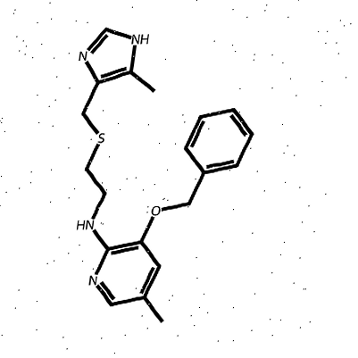 Cc1cnc(NCCSCc2nc[nH]c2C)c(OCc2ccccc2)c1